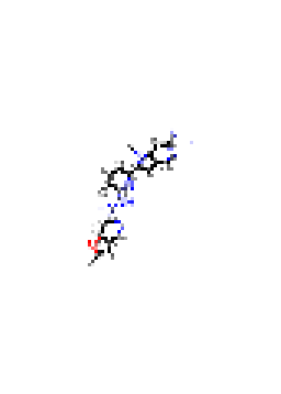 Cc1cc2cnc(NNc3nc(-c4cc5cnc(N)cc5n4C)ccc3C)cc2o1